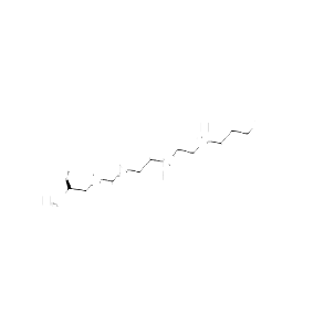 CCCCNCCNCCNCNCC(=O)O